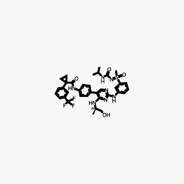 CC(C)NC(=O)N=S(C)(=O)c1cccc(Nc2ncc(-c3ccc(NC(=O)C4(c5cccc(C(F)(F)F)c5)CC4)cc3)c(N[C@H](C)CO)n2)c1